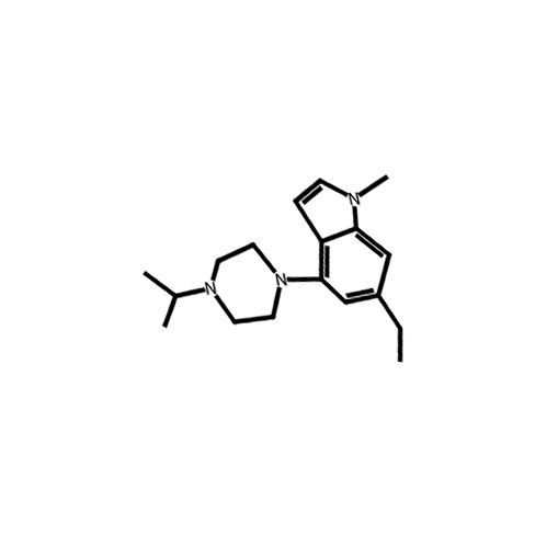 CCc1cc(N2CCN(C(C)C)CC2)c2ccn(C)c2c1